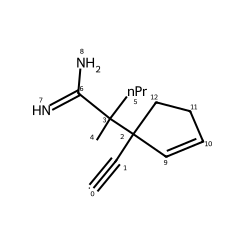 [C]#CC1(C(C)(C[CH]C)C(=N)N)C=CCC1